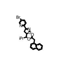 CC(C)C(OC(=O)Cc1cccc2ccccc12)C1CC(c2ccc(Br)cn2)=NO1